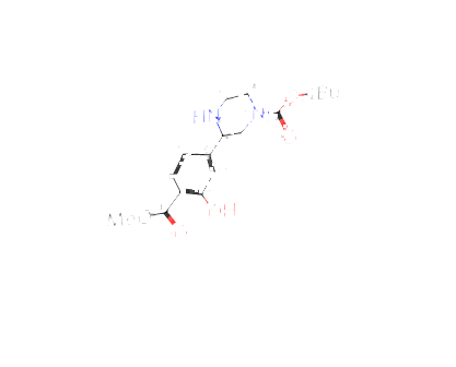 COC(=O)c1ccc(C2CN(C(=O)OC(C)(C)C)CCN2)cc1O